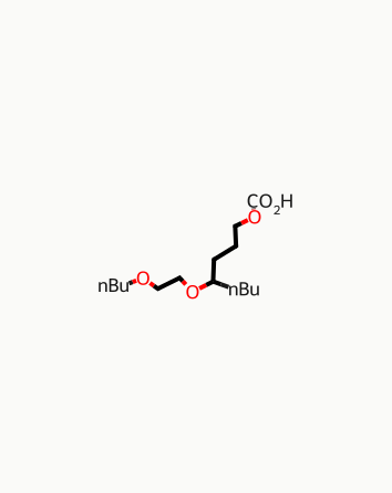 CCCCOCCOC(CCCC)CCCOC(=O)O